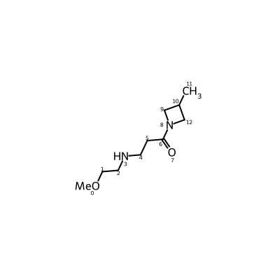 COCCNCCC(=O)N1CC(C)C1